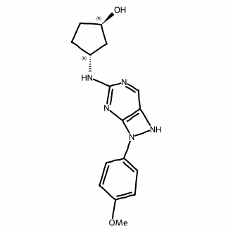 COc1ccc(-n2[nH]c3cnc(N[C@@H]4CC[C@@H](O)C4)nc32)cc1